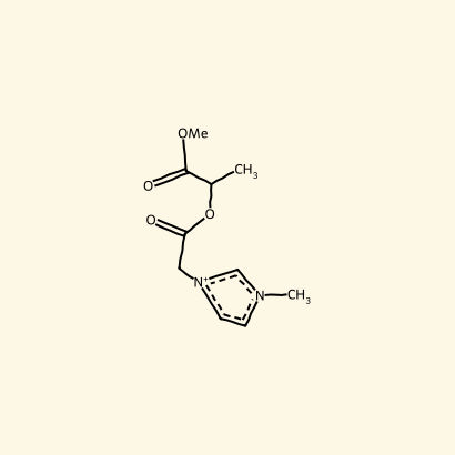 COC(=O)C(C)OC(=O)C[n+]1ccn(C)c1